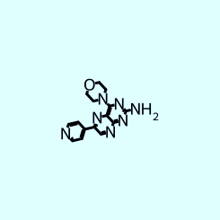 Nc1nc(N2CCOCC2)c2nc(-c3ccncc3)cnc2n1